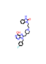 O=c1[nH]c2ccccc2n1CCCN1CCC(Cc2nc3c(O)ncnc3n2Cc2ccc(F)cc2)CC1